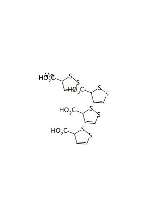 O=C(O)C1C=CSS1.O=C(O)C1C=CSS1.O=C(O)C1C=CSS1.O=C(O)C1C=CSS1.[Mo]